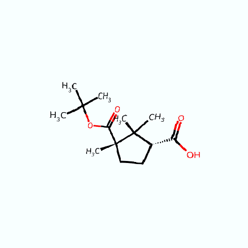 CC(C)(C)OC(=O)[C@@]1(C)CC[C@@H](C(=O)O)C1(C)C